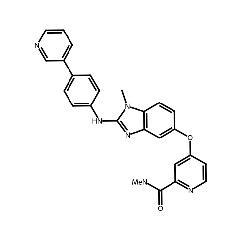 CNC(=O)c1cc(Oc2ccc3c(c2)nc(Nc2ccc(-c4cccnc4)cc2)n3C)ccn1